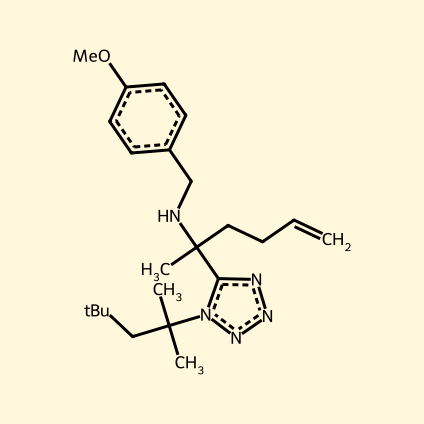 C=CCCC(C)(NCc1ccc(OC)cc1)c1nnnn1C(C)(C)CC(C)(C)C